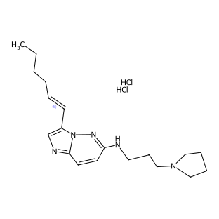 CCCC/C=C/c1cnc2ccc(NCCCN3CCCC3)nn12.Cl.Cl